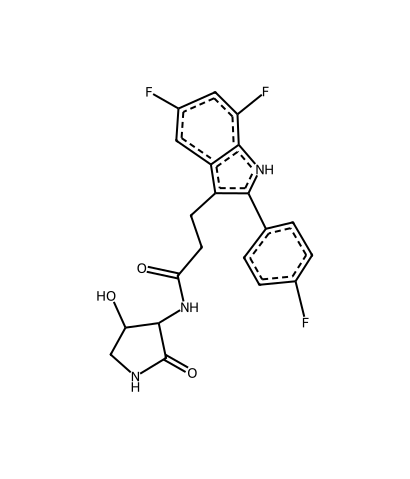 O=C(CCc1c(-c2ccc(F)cc2)[nH]c2c(F)cc(F)cc12)NC1C(=O)NCC1O